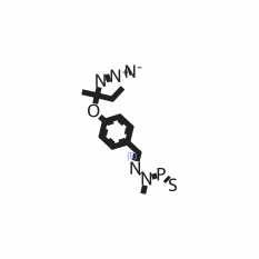 CCC(C)(N=[N+]=[N-])Oc1ccc(/C=N/N(C)P=S)cc1